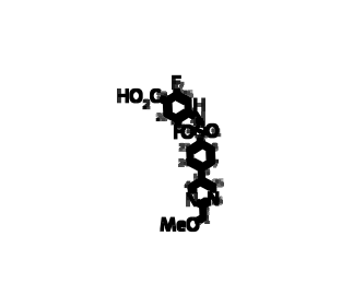 COCc1ncc(-c2ccc(S(=O)(=O)Nc3cc(F)c(C(=O)O)cc3F)cc2)cn1